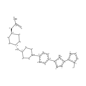 Cn1ccnc1-c1nnc(-c2ccc(N3CCC(O[C@H]4CC[C@H](CC(=O)O)CC4)CC3)nc2)[nH]1